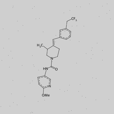 COc1ccc(NC(=O)N2CCC(=Cc3cccc(CC(F)(F)F)c3)C(C)C2)cn1